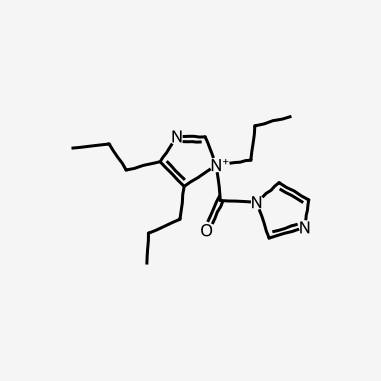 CCCC1=C(CCC)[N+](CCC)(C(=O)n2ccnc2)C=N1